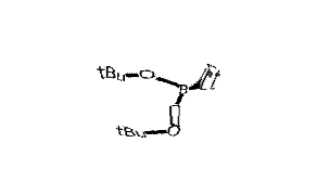 CCB(OC(C)(C)C)OC(C)(C)C